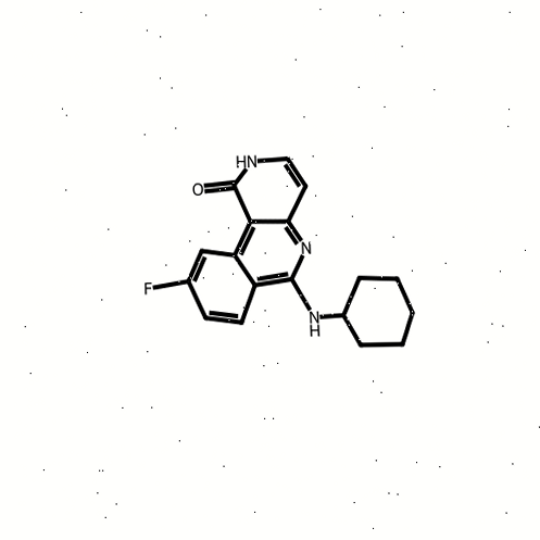 O=c1[nH]ccc2nc(NC3CCCCC3)c3ccc(F)cc3c12